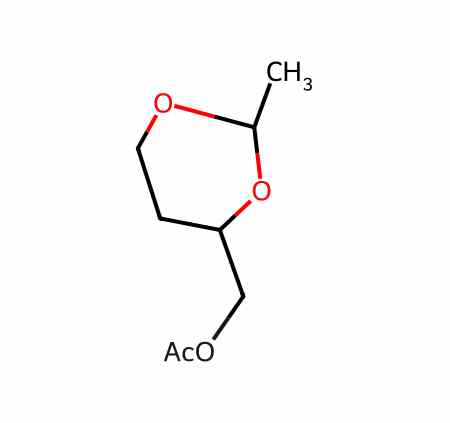 CC(=O)OCC1CCOC(C)O1